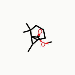 COC(=O)C12C(C)C1CCCC2(C)C